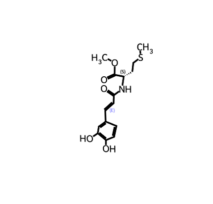 COC(=O)[C@H](CCSC)NC(=O)/C=C/c1ccc(O)c(O)c1